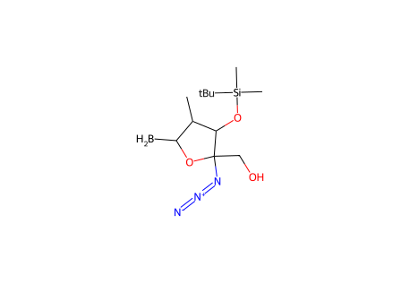 BC1OC(CO)(N=[N+]=[N-])C(O[Si](C)(C)C(C)(C)C)C1C